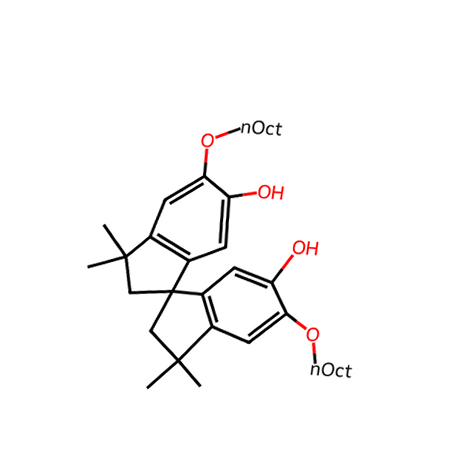 CCCCCCCCOc1cc2c(cc1O)C1(CC2(C)C)CC(C)(C)c2cc(OCCCCCCCC)c(O)cc21